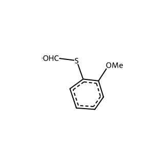 COc1ccccc1S[C]=O